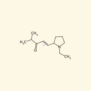 CCN1CCCC1/C=C/C(=O)C(C)C